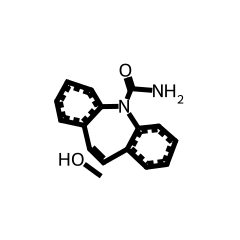 CO.NC(=O)N1c2ccccc2C=Cc2ccccc21